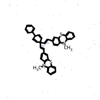 CN1c2ccccc2Sc2cc(/C=C/C3(/C=C/c4ccc5c(c4)Sc4ccccc4N5C)C=CC(c4ccccc4)C=C3)ccc21